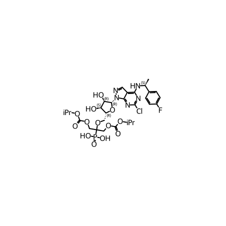 CC(C)OC(=O)OCC(COC(=O)OC(C)C)(OC[C@H]1O[C@@H](n2ncc3c(N[C@@H](C)c4ccc(F)cc4)nc(Cl)nc32)[C@H](O)[C@@H]1O)P(=O)(O)O